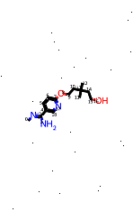 C/N=C(\N)c1ccc(OCCC(C)(C)CCO)nc1